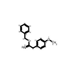 COc1ccc(CC(=N)SCc2ccccc2)cc1